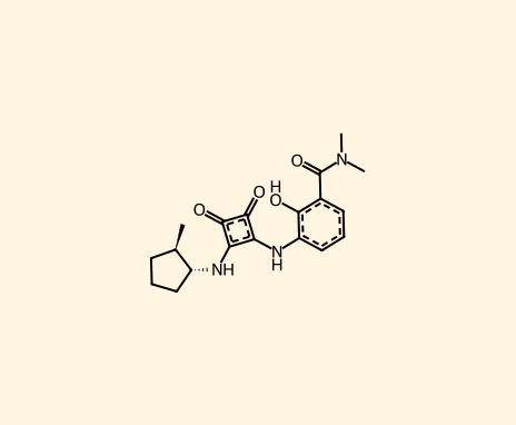 C[C@@H]1CCC[C@H]1Nc1c(Nc2cccc(C(=O)N(C)C)c2O)c(=O)c1=O